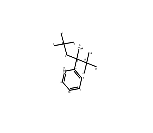 CC(C)(C)CC(O)(c1ccccn1)C(C)(C)C